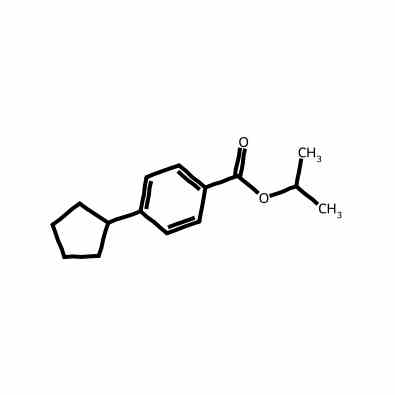 CC(C)OC(=O)c1ccc(C2CCCC2)cc1